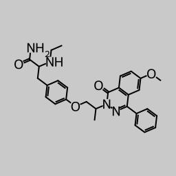 CCNC(Cc1ccc(OCC(C)n2nc(-c3ccccc3)c3cc(OC)ccc3c2=O)cc1)C(N)=O